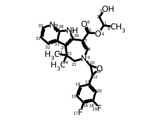 CC(CO)OC(=O)C1=CN(C2OC2c2ccc(F)c(F)c2)CC(C)(C)c2c1[nH]c1ncccc21